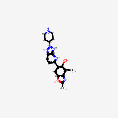 Cc1nc2c(C)c(O)c(-c3ccc4nn(C5CCNCC5)nc4n3)cc2o1